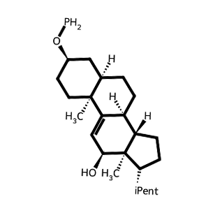 CCC[C@@H](C)C1CC[C@H]2[C@@H]3CC[C@@H]4C[C@H](OP)CC[C@]4(C)C3=C[C@H](O)[C@]12C